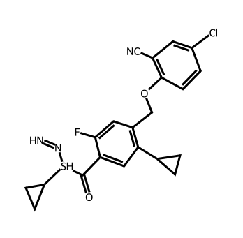 N#Cc1cc(Cl)ccc1OCc1cc(F)c(C(=O)[SH](N=N)C2CC2)cc1C1CC1